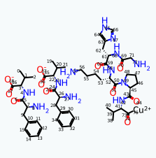 CC(C)[C@H](NC(=O)[C@@H](N)Cc1ccccc1)C(=O)[O-].CC(C)[C@H](NC(=O)[C@@H](N)Cc1ccccc1)C(=O)[O-].CC(C)[C@H](NC(=O)[C@@H]1CCCN1C(=O)[C@H](CCCCN)NC(=O)[C@H](Cc1c[nH]cn1)NC(=O)CN)[C](=O)[Cu+2]